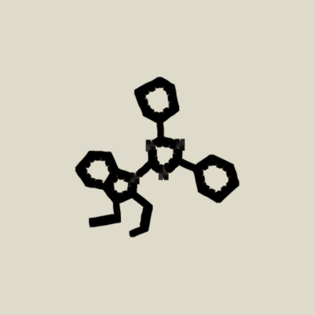 C=Cc1c(/C=C\C)n(-c2nc(-c3ccccc3)nc(-c3ccccc3)n2)c2ccccc12